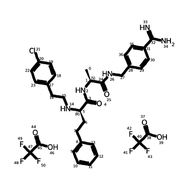 C[C@H](NC(=O)[C@@H](CCc1ccccc1)NCCc1ccc(Cl)cc1)C(=O)NCc1ccc(C(=N)N)cc1.O=C(O)C(F)(F)F.O=C(O)C(F)(F)F